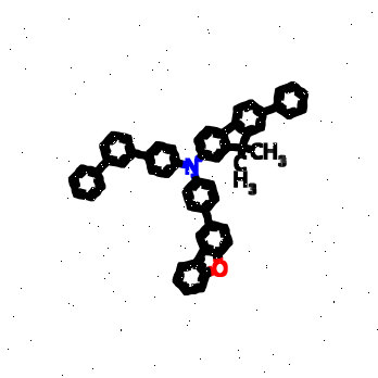 CC1(C)c2cc(-c3ccccc3)ccc2-c2ccc(N(c3ccc(-c4cccc(-c5ccccc5)c4)cc3)c3ccc(-c4ccc5oc6ccccc6c5c4)cc3)cc21